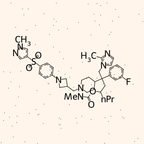 CCCC(CC(Cn1ccnc1C)(c1cccc(F)c1)C1CCN(CC2CN(c3ccc(S(=O)(=O)c4cnn(C)c4)cc3)C2)CC1)OC(=O)NC